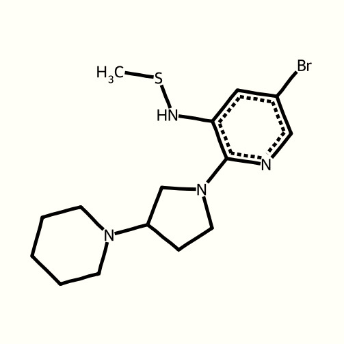 CSNc1cc(Br)cnc1N1CCC(N2CCCCC2)C1